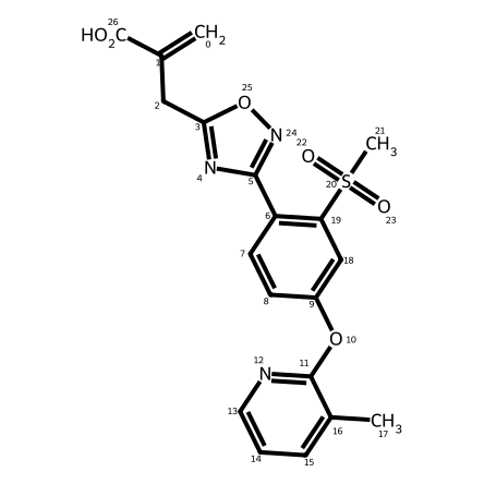 C=C(Cc1nc(-c2ccc(Oc3ncccc3C)cc2S(C)(=O)=O)no1)C(=O)O